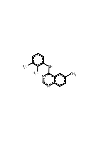 Cc1ccc2ncnc(Nc3cccc(C)c3C)c2c1